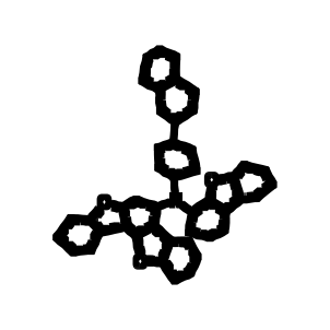 c1ccc2cc(-c3ccc(N(c4cccc5c4oc4ccccc45)c4cc5oc6ccccc6c5c5oc6ccccc6c45)cc3)ccc2c1